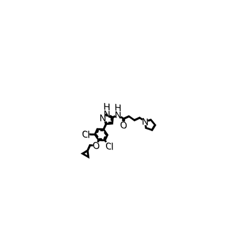 O=C(CCCN1CCCC1)Nc1cc(-c2cc(Cl)c(OCC3CC3)c(Cl)c2)n[nH]1